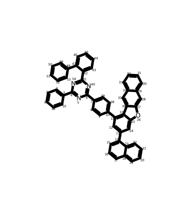 c1ccc(-c2nc(-c3ccc(-c4cc(-c5cccc6ccccc56)cc5oc6cc7ccccc7cc6c45)cc3)nc(-c3ccccc3-c3ccccc3)n2)cc1